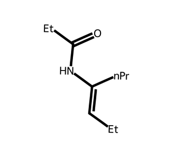 CC/C=C(\CCC)NC(=O)CC